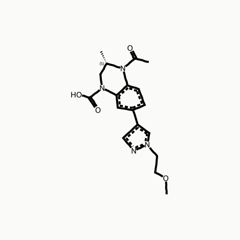 COCCn1cc(-c2ccc3c(c2)N(C(=O)O)C[C@H](C)N3C(C)=O)cn1